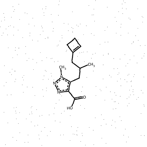 CC(CC1=CCC1)Cc1c(C(=O)O)nnn1C